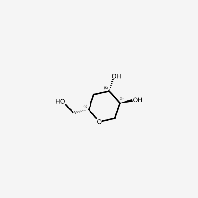 OC[C@@H]1C[C@H](O)[C@@H](O)CO1